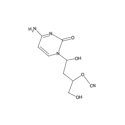 N#COC(CO)CC(O)n1ccc(N)nc1=O